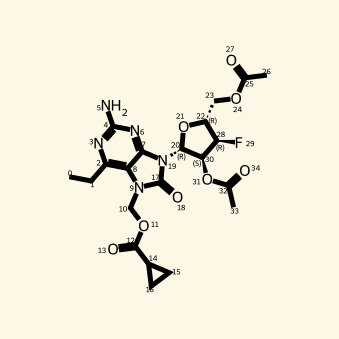 CCc1nc(N)nc2c1n(COC(=O)C1CC1)c(=O)n2[C@@H]1O[C@H](COC(C)=O)[C@@H](F)[C@H]1OC(C)=O